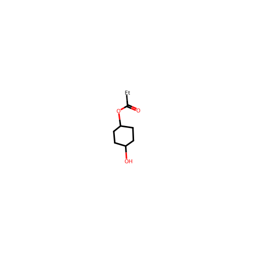 CCC(=O)OC1CCC(O)CC1